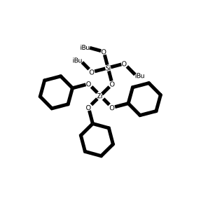 CCC(C)O[Si](OC(C)CC)(OC(C)CC)[O][Zr]([O]C1CCCCC1)([O]C1CCCCC1)[O]C1CCCCC1